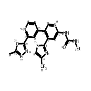 CCNC(=O)Nc1cc(-c2nc(C(F)(F)F)cs2)c(-c2ccnc(-c3nnc(C)o3)c2)cn1